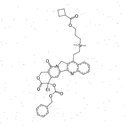 CCC1(OC(=O)OCc2ccccc2)C(=O)OCc2c1cc1n(c2=O)Cc2c-1nc1ccccc1c2CC[Si](C)(C)CCCOC(=O)C1CCC1